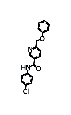 O=C(Nc1ccc(Cl)cc1)c1ccc(COc2ccccc2)nc1